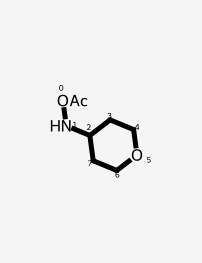 CC(=O)ONC1CCOCC1